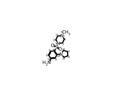 CN1CCN(S(=O)(=O)c2ccc(N)cc2N2CCCC2)CC1